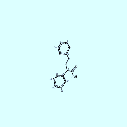 O=C(O)C(CCc1ccccc1)c1cncnc1